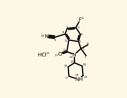 CC1(C)c2cc(F)cc(C#N)c2C(=O)N1C1CCNCC1.Cl